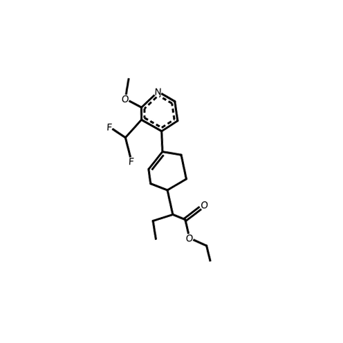 CCOC(=O)C(CC)C1CC=C(c2ccnc(OC)c2C(F)F)CC1